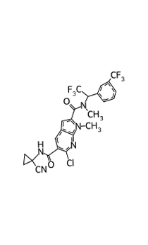 CN(C(=O)c1cc2cc(C(=O)NC3(C#N)CC3)c(Cl)nc2n1C)C(c1cccc(C(F)(F)F)c1)C(F)(F)F